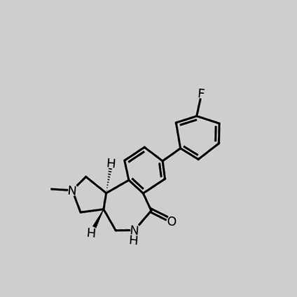 CN1C[C@H]2CNC(=O)c3cc(-c4cccc(F)c4)ccc3[C@@H]2C1